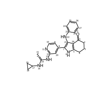 O=C1CCCc2[nH]c(-c3ccnc(NC(=S)NC4CC4)c3)c(Nc3ccccc3)c21